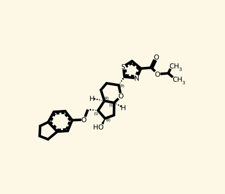 CC(C)OC(=O)c1csc([C@H]2CC[C@@H]3[C@@H](COc4ccc5c(c4)CCC5)[C@H](O)C[C@@H]3O2)n1